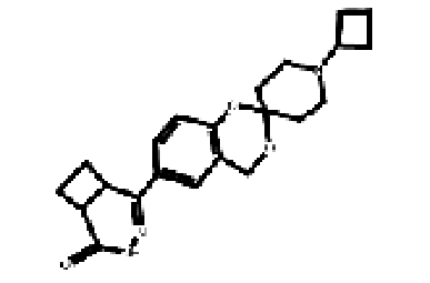 O=C1NN=C(c2ccc3c(c2)COC2(CCN(C4CCC4)CC2)O3)C2CCC12